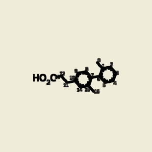 Cc1ccccc1-c1ccc(CCC(=O)O)cc1C